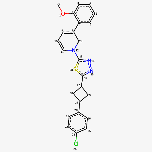 COc1ccccc1C1=CC=CN(c2nnc(C3CC(c4ccc(Cl)cc4)C3)s2)C1